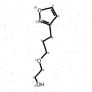 OCCOCCCc1ccon1